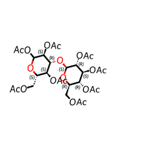 CC(=O)OC[C@@H]1OC(OC(C)=O)[C@@H](OC(C)=O)[C@H](O[C@@H]2O[C@H](COC(C)=O)[C@@H](OC(C)=O)[C@H](OC(C)=O)[C@H]2OC(C)=O)[C@H]1OC(C)=O